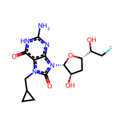 Nc1nc2c(c(=O)[nH]1)n(CC1CC1)c(=O)n2[C@@H]1O[C@H](C(O)CF)C[C@H]1O